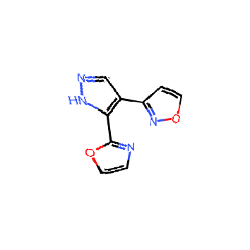 [c]1n[nH]c(-c2ncco2)c1-c1ccon1